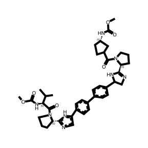 COC(=O)N[C@H]1CCC(C(=O)N2CCC[C@H]2C2=NCC(c3ccc(-c4ccc(-c5cnc([C@@H]6CCCN6C(=O)[C@@H](NC(=O)OC)C(C)C)[nH]5)cc4)cc3)N2)C1